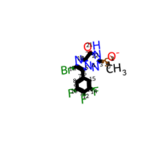 C[S+]([O-])c1nn2c(-c3cc(F)c(F)c(F)c3)c(Br)nc2c(=O)[nH]1